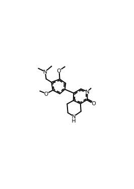 COc1cc(-c2cn(C)c(=O)c3c2CCNC3)cc(OC)c1CN(C)C